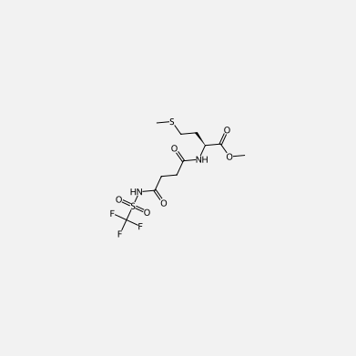 COC(=O)[C@H](CCSC)NC(=O)CCC(=O)NS(=O)(=O)C(F)(F)F